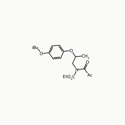 CCOC(=O)N(CC(C)Oc1ccc(OC(C)CC)cc1)C(=O)C(C)=O